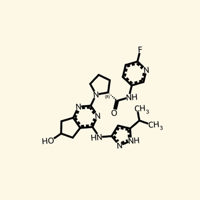 CC(C)c1cc(Nc2nc(N3CCC[C@@H]3C(=O)Nc3ccc(F)nc3)nc3c2CC(O)C3)n[nH]1